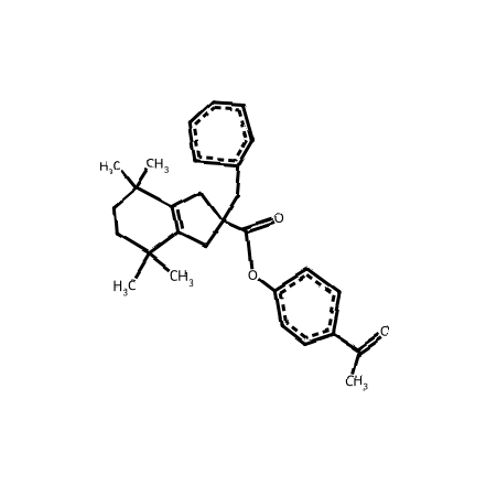 CC(=O)c1ccc(OC(=O)C2(Cc3ccccc3)CC3=C(C2)C(C)(C)CCC3(C)C)cc1